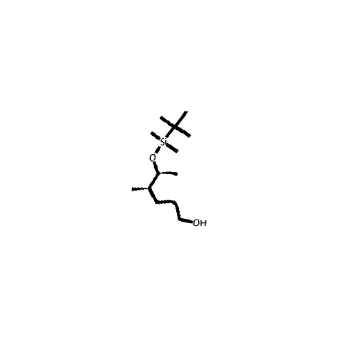 C[C@H](CCCO)[C@H](C)O[Si](C)(C)C(C)(C)C